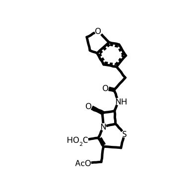 CC(=O)OCC1=C(C(=O)O)N2C(=O)C(NC(=O)Cc3ccc4c(c3)CCO4)C2SC1